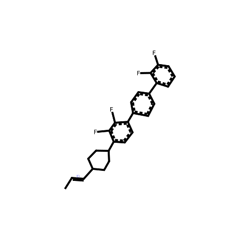 C/C=C/C1CCC(c2ccc(-c3ccc(-c4cccc(F)c4F)cc3)c(F)c2F)CC1